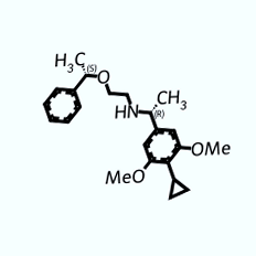 COc1cc([C@@H](C)NCCO[C@@H](C)c2ccccc2)cc(OC)c1C1CC1